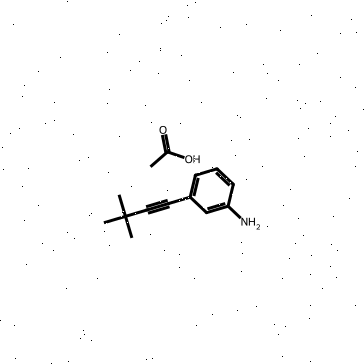 CC(=O)O.CC(C)(C)C#Cc1cccc(N)c1